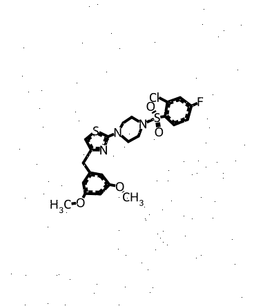 COc1cc(Cc2csc(N3CCN(S(=O)(=O)c4ccc(F)cc4Cl)CC3)n2)cc(OC)c1